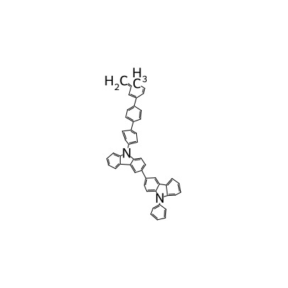 C=C/C=C(\C=C/C)c1ccc(-c2ccc(-n3c4ccccc4c4cc(-c5ccc6c(c5)c5ccccc5n6-c5ccccc5)ccc43)cc2)cc1